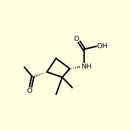 CC(=O)[C@@H]1C[C@H](NC(=O)O)C1(C)C